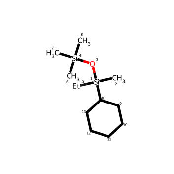 CC[Si](C)(O[Si](C)(C)C)C1CCCCC1